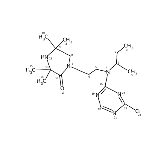 CCC(C)N(CCN1CC(C)(C)NC(C)(C)C1=O)c1ncnc(Cl)n1